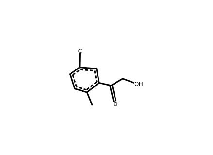 Cc1ccc(Cl)cc1C(=O)CO